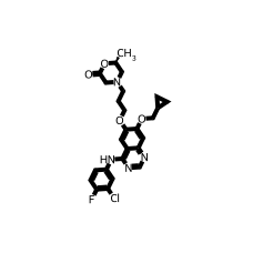 C[C@H]1CN(CCCOc2cc3c(Nc4ccc(F)c(Cl)c4)ncnc3cc2OCC2CC2)CC(=O)O1